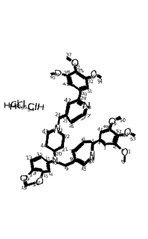 COc1cc(-c2ccc(CN(c3ccc4c(c3)OCO4)C3CCN(Cc4ccnc(-c5cc(OC)c(OC)c(OC)c5)c4)CC3)cn2)cc(OC)c1OC.Cl.Cl.Cl